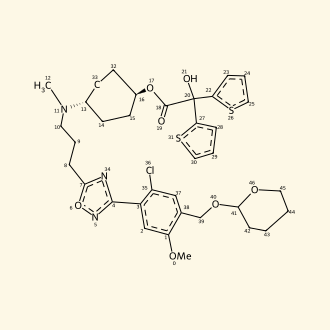 COc1cc(-c2noc(CCCN(C)[C@H]3CC[C@H](OC(=O)C(O)(c4cccs4)c4cccs4)CC3)n2)c(Cl)cc1COC1CCCCO1